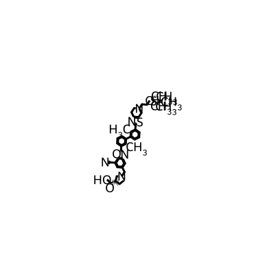 Cc1c(-c2nc3cc(CN4CC[C@@H](C(=O)O)C4)cc(C#N)c3o2)cccc1-c1cccc(-c2nc3c(s2)CN(CCO[Si](C)(C)C(C)(C)C)CC3)c1C